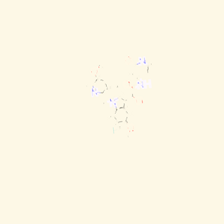 COC1=NC=CC(NC(=O)C(=O)c2c(C)n(Cc3ccc(OC)cn3)c3cc(F)c(OC)cc23)C1